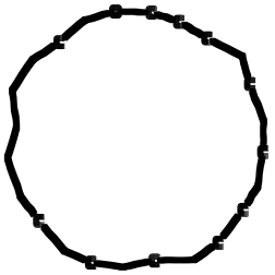 C1CCCCCCCCCCCOCCCCCCCCCCC1